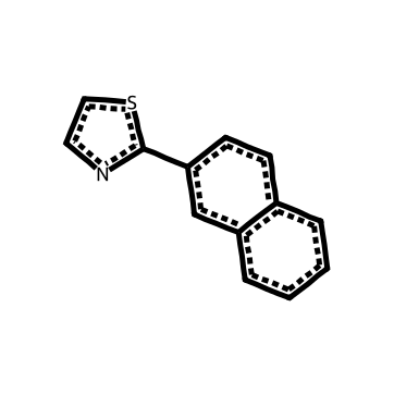 c1ccc2cc(-c3nccs3)ccc2c1